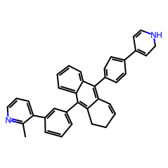 Cc1ncccc1-c1cccc(-c2c3c(c(-c4ccc(C5=CCNC=C5)cc4)c4ccccc24)C=CCC3)c1